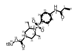 C=CC(=O)Nc1ccc(S(=O)(=O)N2[C@H](C)CN(C(=O)OC(C)(C)C)C[C@@H]2C)cc1